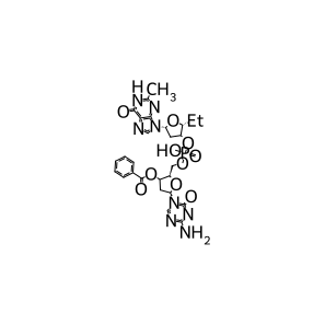 CC[C@H]1O[C@@H](n2cnc3c(=O)[nH]c(C)nc32)CC1OP(=O)(O)OC[C@H]1O[C@@H](n2cnc(N)nc2=O)CC1OC(=O)c1ccccc1